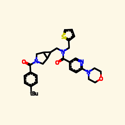 CC(C)(C)c1ccc(C(=O)N2CC3C(CN(Cc4cccs4)C(=O)c4ccc(N5CCOCC5)nc4)C3C2)cc1